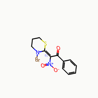 O=C(/C(=C1\SCCCN1Br)[N+](=O)[O-])c1ccccc1